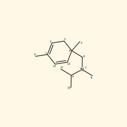 CC1=CCC(C)(CN(C)C(C)C)C=C1